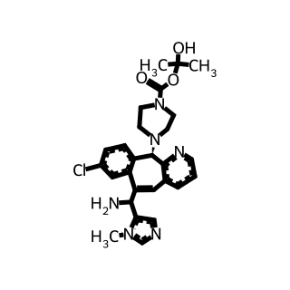 Cn1cncc1C(N)C1=Cc2cccnc2[C@@H](N2CCN(C(=O)OC(C)(C)O)CC2)c2ccc(Cl)cc21